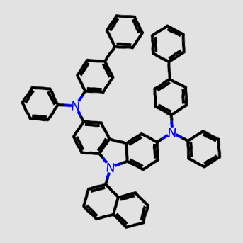 c1ccc(-c2ccc(N(c3ccccc3)c3ccc4c(c3)c3cc(N(c5ccccc5)c5ccc(-c6ccccc6)cc5)ccc3n4-c3cccc4ccccc34)cc2)cc1